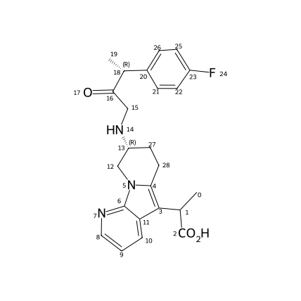 CC(C(=O)O)c1c2n(c3ncccc13)C[C@H](NCC(=O)[C@H](C)c1ccc(F)cc1)CC2